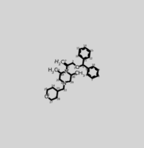 C=C(COC(c1ccccc1)c1ccccc1)N1C(C)CN(CC2CCOCC2)CC1C